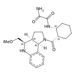 COC[C@@H]1Nc2ccccc2[C@H]2[C@@H]1CCN2C(=O)[C@H]1CCCC[C@H]1NC(=O)C(N)=O